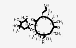 CC1OC(O[C@H]2[C@H](C)[C@@H](O)[C@](C)(O)C[C@@H](C)C(=O)[C@H](C)[C@@H](O)[C@@H](C)[C@@H](CCO)CC(=O)[C@@H]2C)CC(C)(O)C1O